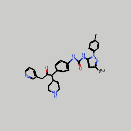 Cc1ccc(-n2nc(C(C)(C)C)cc2NC(=O)Nc2ccc(C(C(=O)Cc3cccnc3)C3CCNCC3)cc2)cc1